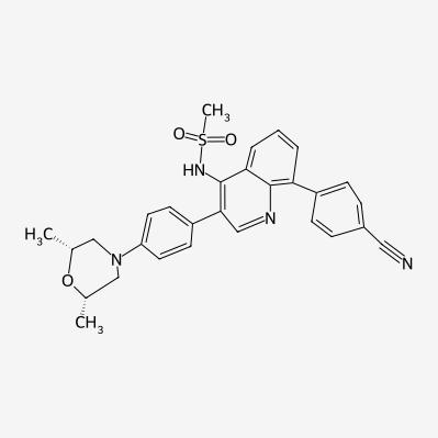 C[C@@H]1CN(c2ccc(-c3cnc4c(-c5ccc(C#N)cc5)cccc4c3NS(C)(=O)=O)cc2)C[C@H](C)O1